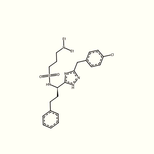 CCN(CC)CCCS(=O)(=O)N[C@H](CCc1ccccc1)c1nc(Cc2ccc(Cl)cc2)n[nH]1